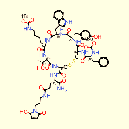 C[C@@H](O)[C@@H]1NC(=O)[C@H](CCCCNC(=O)OC(C)(C)C)NC(=O)[C@@H](Cc2c[nH]c3ccccc23)NC(=O)[C@H](Cc2ccc(O)cc2)NC(=O)[C@@H](NC(=O)[C@@H](Cc2ccccc2)NC(=O)OC(C)(C)C)CSSC[C@@H](C(=O)N[C@@H](CCC(=O)NCCCN2C(=O)C=CC2O)C(N)=O)NC1=O